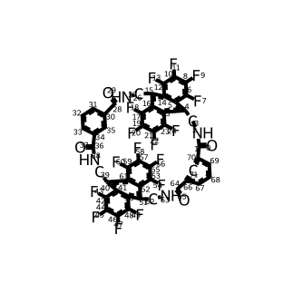 O=C1NCc2c3c(F)c(F)c(F)c(F)c3c(c3c(F)c(F)c(F)c(F)c23)CNC(=O)c2cccc(c2)C(=O)NCc2c3c(F)c(F)c(F)c(F)c3c(c3c(F)c(F)c(F)c(F)c23)CNC(=O)c2cccc1c2